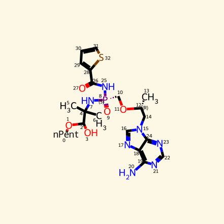 CCCCCOC(O)C(C)(C)N[P@@](=O)(CO[C@H](C)Cn1cnc2c(N)ncnc21)NC(=O)c1cccs1